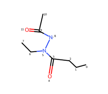 CCCC(=O)N(CC)[N]C(C)=O